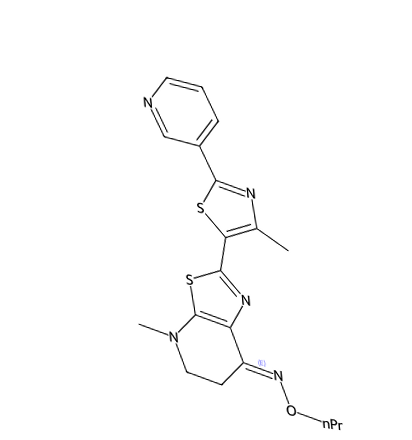 CCCO/N=C1\CCN(C)c2sc(-c3sc(-c4cccnc4)nc3C)nc21